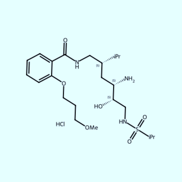 COCCCOc1ccccc1C(=O)NC[C@@H](C[C@H](N)[C@@H](O)CNS(=O)(=O)C(C)C)C(C)C.Cl